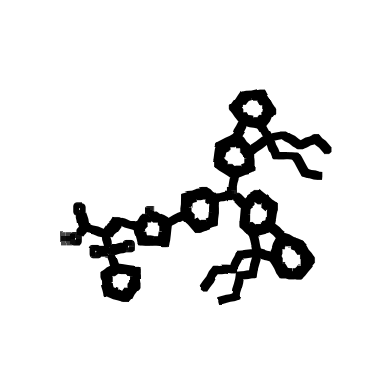 CCCCC1(CCCC)c2ccccc2-c2ccc(N(c3ccc(-c4ccc(/C=C(/C(=O)O)S(=O)(=O)c5ccccc5)s4)cc3)c3ccc4c(c3)C(CCCC)(CCCC)c3ccccc3-4)cc21